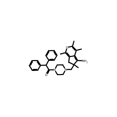 CC1=C(C)C2=C(N)C(C)(CN3CCN(C(=O)C(c4ccccc4)c4ccccc4)CC3)CC2=C(C)O1